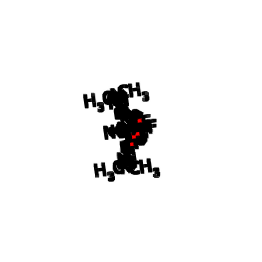 Cc1nc(C)nc(-c2ccc3c(c2)c2ccccc2n3-c2cc(C#N)cc(-n3c4ccccc4c4cc(-c5nc(C)nc(C)n5)ccc43)c2-c2ccc(C(F)(F)F)cc2C#N)n1